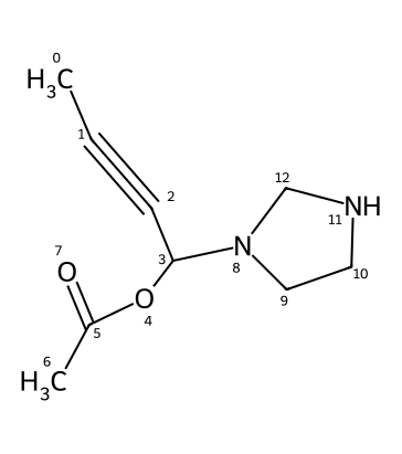 CC#CC(OC(C)=O)N1CCNC1